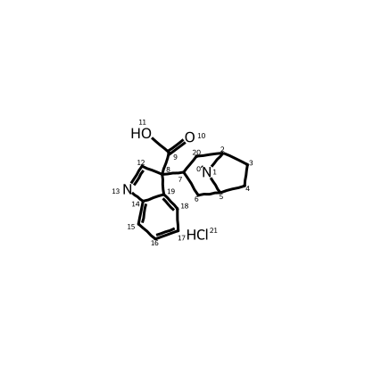 CN1C2CCC1CC(C1(C(=O)O)C=Nc3ccccc31)C2.Cl